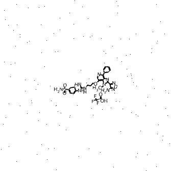 CCn1c(-c2nonc2N)nc2c(-c3ccccc3)ncc(OCCCNC(=N)Nc3ccc(S(N)(=O)=O)cc3)c21.O=C(O)C(F)(F)F